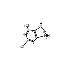 Clc1cc2c(c(Cl)n1)NNN2